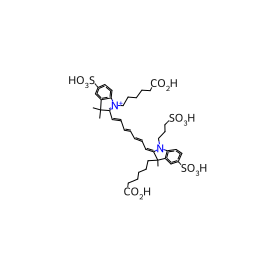 CC1(C)C(/C=C/C=C/C=C/C=C2\N(CCCS(=O)(=O)O)c3ccc(S(=O)(=O)O)cc3C2(C)CCCCCC(=O)O)=[N+](CCCCCC(=O)O)c2ccc(S(=O)(=O)O)cc21